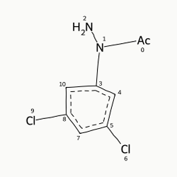 CC(=O)N(N)c1cc(Cl)cc(Cl)c1